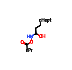 CCCCCCCCCC(O)NOC(=O)CCC